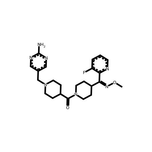 CO/N=C(\c1ncccc1F)C1CCN(C(=O)C2CCN(Cc3cnc(N)nc3)CC2)CC1